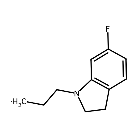 [CH2]CCN1CCc2ccc(F)cc21